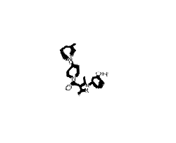 Cc1nn(C2=CC=CC(O)C2)c(C)c1C(=O)N1CCC(N2CCC(C)C2)CC1